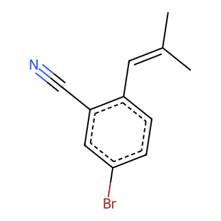 CC(C)=Cc1ccc(Br)cc1C#N